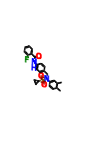 Cc1ccc(N(Cc2ccc(NC(=O)c3ccccc3F)cc2)S(=O)(=O)C2CC2)cc1C